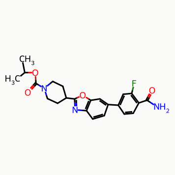 CC(C)OC(=O)N1CCC(c2nc3ccc(-c4ccc(C(N)=O)c(F)c4)cc3o2)CC1